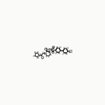 O=C(CN1CCC[C@H](NS(=O)(=O)c2ccc(-c3ccc(Cl)cc3)cc2)C1=O)N1CCCC1